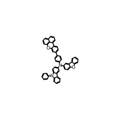 c1ccc(-n2c3ccccc3c3cc(N(c4ccc(-c5ccc6c(c5)Oc5cccc7cccc-6c57)cc4)c4ccc5oc6ccccc6c5c4)ccc32)cc1